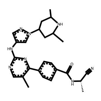 Cc1cnc(Nc2cnn(C3CC(C)NC(C)C3)c2)nc1-c1ccc(C(=O)N[C@@H](C)C#N)cc1